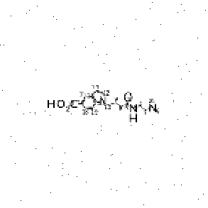 CN(C)CCNC(=O)CCCn1ccc2cc(C(=O)O)ccc21